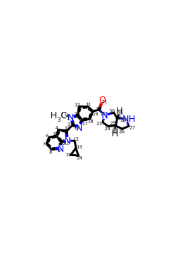 Cn1c(-c2cc3cccnc3n2CC2CC2)nc2cc(C(=O)N3CC[C@H]4CCN[C@H]4C3)ccc21